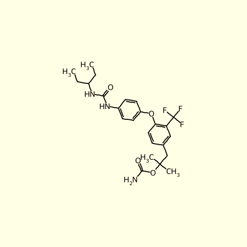 CCC(CC)NC(=O)Nc1ccc(Oc2ccc(CC(C)(C)OC(N)=O)cc2C(F)(F)F)cc1